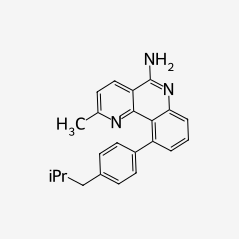 Cc1ccc2c(N)nc3cccc(-c4ccc(CC(C)C)cc4)c3c2n1